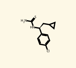 NC(=S)N[C@@H](CC1CC1)c1ccc(Cl)cc1